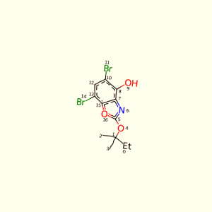 CCC(C)(C)Oc1nc2c(O)c(Br)cc(Br)c2o1